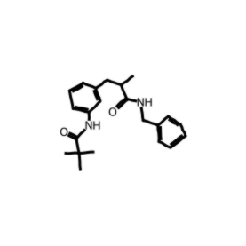 CC(Cc1cccc(NC(=O)C(C)(C)C)c1)C(=O)NCc1ccccc1